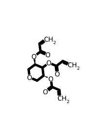 C=CC(=O)OC1[C@H](OC(=O)C=C)COC[C@H]1OC(=O)C=C